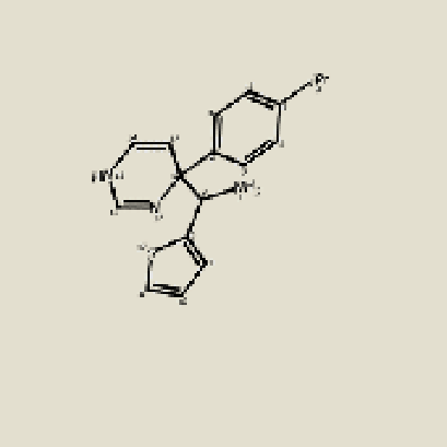 CC(C)c1ccc(C2(C(N)c3cccs3)C=CNC=N2)cc1